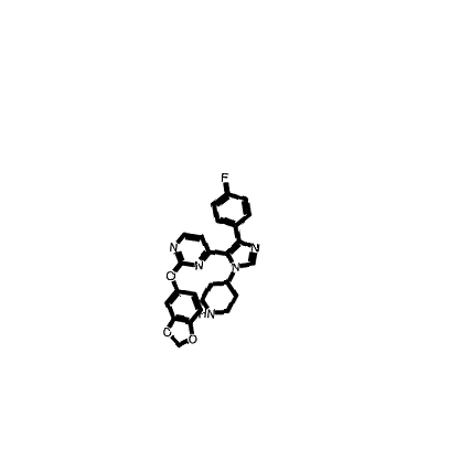 Fc1ccc(-c2ncn(C3CCNCC3)c2-c2ccnc(Oc3ccc4c(c3)OCO4)n2)cc1